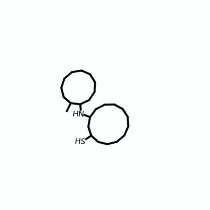 CC1CCCCCCCCCC1NC1CCCCCCCCCCC(S)C1